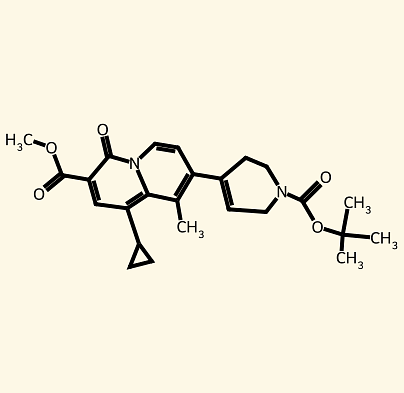 COC(=O)c1cc(C2CC2)c2c(C)c(C3=CCN(C(=O)OC(C)(C)C)CC3)ccn2c1=O